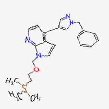 CS(C)(C)CCOCn1ccc2c(-c3cnn(Cc4ccccc4)c3)ccnc21